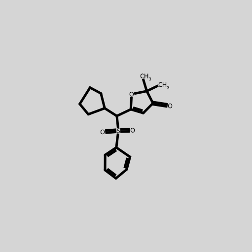 CC1(C)OC(C(C2CCCC2)S(=O)(=O)c2ccccc2)=CC1=O